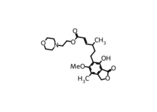 COc1c(C)c2c(c(O)c1CCC(C)C=CC(=O)OCCN1CCOCC1)C(=O)OC2